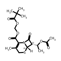 CC(=O)OC(C)[C@H]1C(=O)N2C(C(=O)OCOC(=O)C(C)(C)C)=C(C)CS[C@@H]12